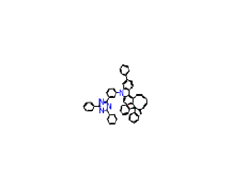 C=C1/C=C\C=C/Cc2c(ccc3c2c2ccc(-c4ccccc4)cc2n3-c2cccc(-c3nc(-c4ccccc4)nc(-c4ccccc4)n3)c2)C1(c1ccccc1)c1ccccc1